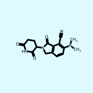 CN(C)c1ccc2c(c1C#N)C(=O)N(C1CCC(=O)NC1=O)C2